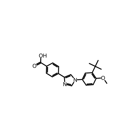 COc1ccc(-n2cnc(-c3ccc(C(=O)O)cc3)c2)cc1C(C)(C)C